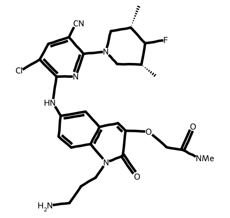 CNC(=O)COc1cc2cc(Nc3nc(N4C[C@@H](C)C(F)[C@@H](C)C4)c(C#N)cc3Cl)ccc2n(CCCN)c1=O